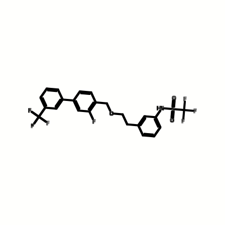 O=S(=O)(Nc1cccc(CCOCc2ccc(-c3cccc(C(F)(F)F)c3)cc2F)c1)C(F)(F)F